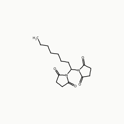 CCCCCCCC(N1C(=O)CCC1=O)N1C(=O)CCC1=O